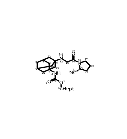 CCCCCCCOC(=O)NC12CC3CC(CC(NCC(=O)N4CCC[C@H]4C#N)(C3)C1)C2